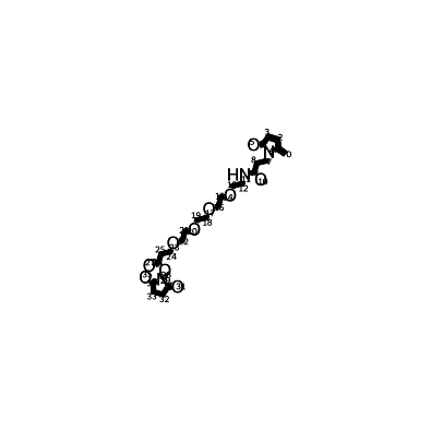 C=C1C=CC(=O)N1CCC(=O)NCCOCCOCCOCCOCCC(=O)ON1C(=O)CCC1=O